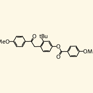 COc1ccc(C(=O)Cc2ccc(OC(=O)c3ccc(OC)cc3)cc2C(C)(C)C)cc1